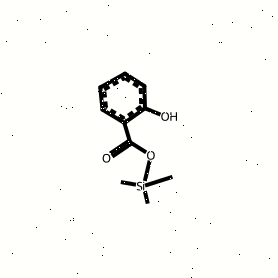 C[Si](C)(C)OC(=O)c1ccccc1O